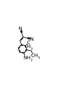 CCc1c(N)ccc(C=C(C#N)C#N)c1C